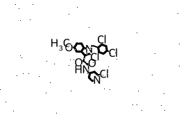 COc1ccc2c(c1)c(C(=O)C(=O)Nc1ccnc(Cl)c1)c(Cl)n2Cc1ccc(Cl)cc1Cl